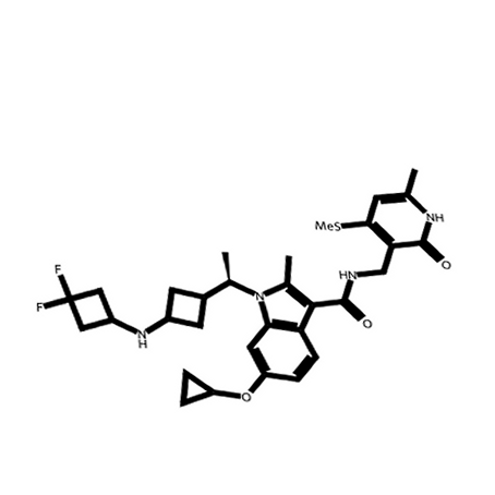 CSc1cc(C)[nH]c(=O)c1CNC(=O)c1c(C)n([C@H](C)C2CC(NC3CC(F)(F)C3)C2)c2cc(OC3CC3)ccc12